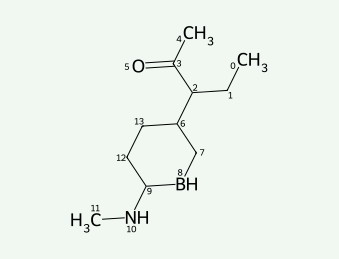 CCC(C(C)=O)C1CBC(NC)CC1